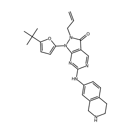 C=CCn1c(=O)c2cnc(Nc3ccc4c(c3)CNCC4)nc2n1-c1ccc(C(C)(C)C)o1